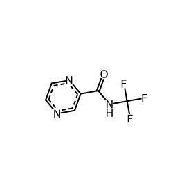 O=C(NC(F)(F)F)c1cnccn1